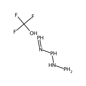 OC(F)(F)F.P=NPNP